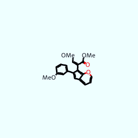 COC=C(C(=O)OC)c1c(-c2cccc(OC)c2)cc2cccoc1-2